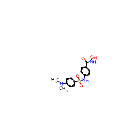 CN(C)c1ccc(S(=O)(=O)Nc2ccc(C(=O)NO)cc2)cc1